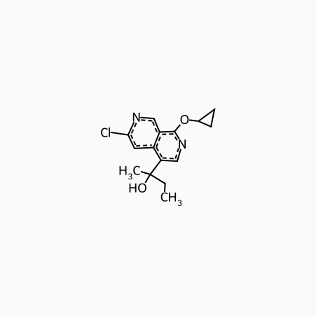 CCC(C)(O)c1cnc(OC2CC2)c2cnc(Cl)cc12